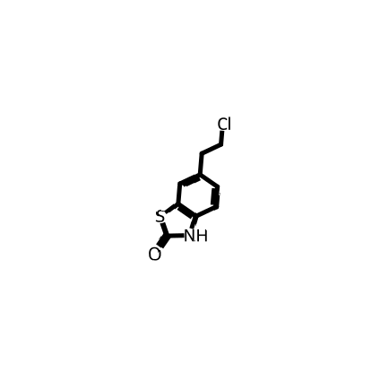 O=c1[nH]c2ccc(CCCl)cc2s1